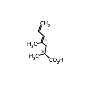 C=C/C=C(\C)C[C@H](C)C(=O)O